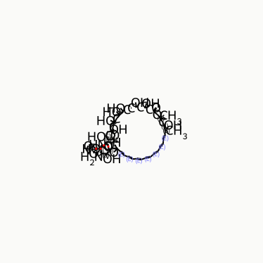 C[C@H]1C[C@H](O)[C@@H](C)/C=C/C=C/C=C/C=C/C=C/C=C/C=C/C(O[C@@H]2OC[C@@H](O)[C@H](N)[C@@H]2O)C[C@@H]2OC(O)(CC(O)CC(O)C(O)CCC(O)CC(O)CC(=O)O1)C[C@H](O)[C@H]2C(=O)NCC1COCCO1